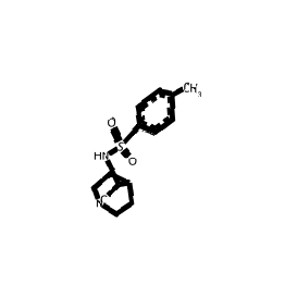 Cc1ccc(S(=O)(=O)NC2CN3CCC2CC3)cc1